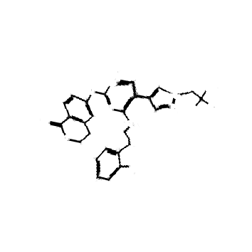 CC(C)(O)Cn1cc(-c2cnc(Nc3ccc4c(c3)CCNC4=O)nc2NCCc2ccccc2O)cn1